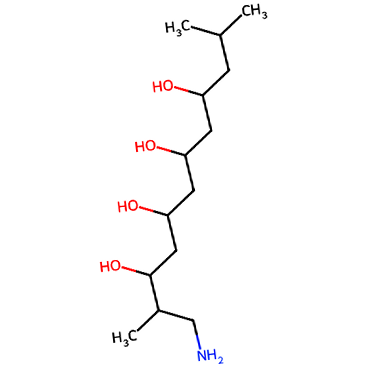 CC(C)CC(O)CC(O)CC(O)CC(O)C(C)CN